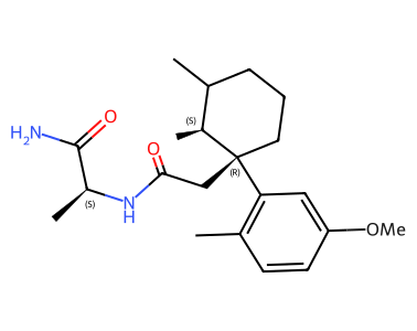 COc1ccc(C)c([C@@]2(CC(=O)N[C@@H](C)C(N)=O)CCCC(C)[C@@H]2C)c1